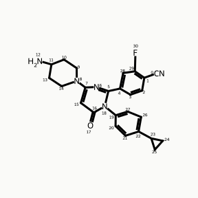 N#Cc1ccc(-c2nc(N3CCC(N)CC3)cc(=O)n2-c2ccc(C3CC3)cc2)cc1F